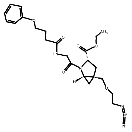 CCOC(=O)[C@@H]1C[C@]2(COCCN=[N+]=[N-])C[C@@H]2N1C(=O)CNC(=O)CCCOc1ccccc1